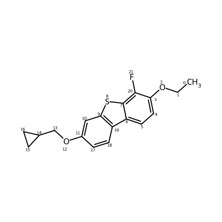 CCOc1ccc2c(sc3cc(OCC4CC4)ccc32)c1F